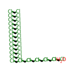 ClCCl.ClCCl.ClCCl.ClCCl.ClCCl.ClCCl.ClCCl.ClCCl.ClCCl.ClCCl.ClCCl.ClCCl.ClCCl.ClCCl.ClCCl.ClCCl.ClCCl.ClCCl.O